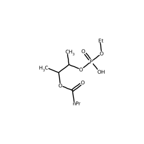 CCCC(=O)OC(C)C(C)OP(=O)(O)OCC